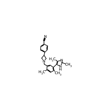 Cc1nc(C)c(-c2cc(CN3CC(c4ccc(C#N)cc4)C3)c(C)cc2C)[nH]1